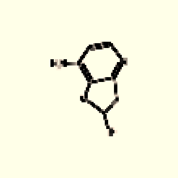 CC(C)C1Cc2nccc(N)c2O1